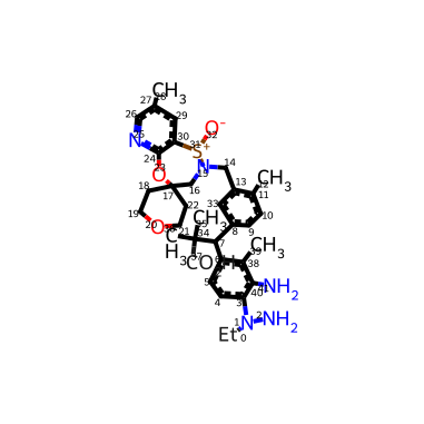 CCN(N)c1ccc(C(c2ccc(C)c(CN3CC4(CCOCC4)Oc4ncc(C)cc4[S+]3[O-])c2)C(C)(C)C(=O)O)c(C)c1N